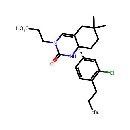 CC(C)(C)CCc1ccc([C@@]23CCC(C)(C)CC2=CN(CCC(=O)O)C(=O)N3)cc1Cl